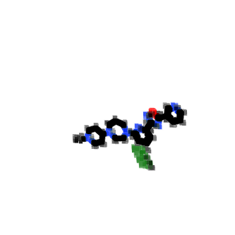 CC(C)N1CCC(N2CCCN(c3cccc(-c4noc(-c5cccnc5)n4)n3)CC2)CC1.Cl.Cl.Cl.Cl